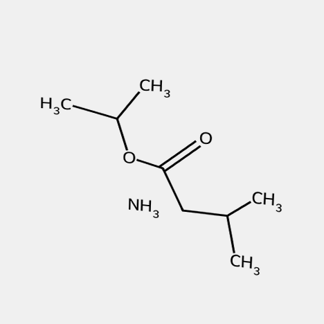 CC(C)CC(=O)OC(C)C.N